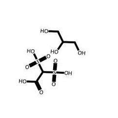 O=C(O)C(S(=O)(=O)O)S(=O)(=O)O.OCC(O)CO